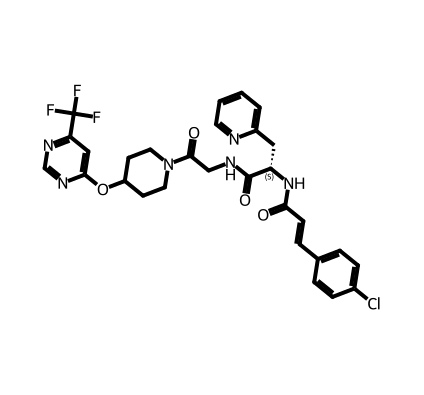 O=C(C=Cc1ccc(Cl)cc1)N[C@@H](Cc1ccccn1)C(=O)NCC(=O)N1CCC(Oc2cc(C(F)(F)F)ncn2)CC1